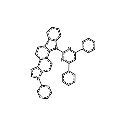 c1ccc(-c2cc(-c3ccccc3)nc(-n3c4ccccc4c4ccc5c6ccn(-c7ccccc7)c6ccc5c43)n2)cc1